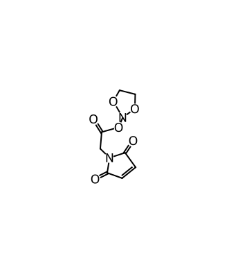 O=C(CN1C(=O)C=CC1=O)ON1OCCO1